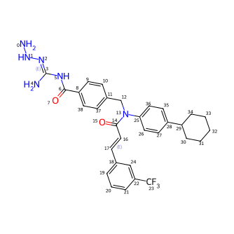 NN/N=C(\N)NC(=O)c1ccc(CN(C(=O)/C=C/c2cccc(C(F)(F)F)c2)c2ccc(C3CCCCC3)cc2)cc1